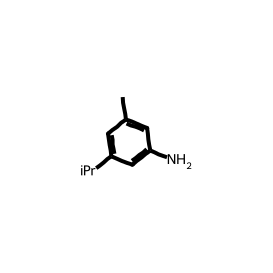 Cc1cc(N)cc(C(C)C)c1